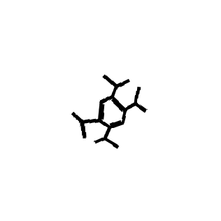 CC(C)c1cc(C(C)C)c(C(C)C)cc1C(C)C